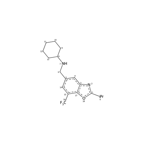 CC(C)c1nc2cc(CNC3CCCCC3)cc(C(F)(F)F)c2o1